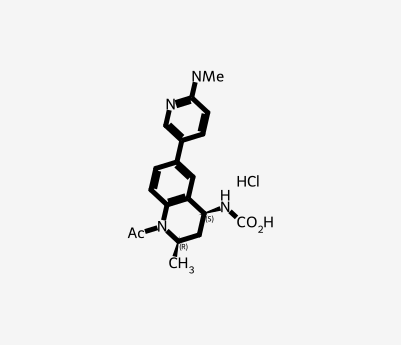 CNc1ccc(-c2ccc3c(c2)[C@@H](NC(=O)O)C[C@@H](C)N3C(C)=O)cn1.Cl